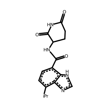 CC(C)c1ccc(C(=O)NC2CCC(=O)NC2=O)c2[nH]cnc12